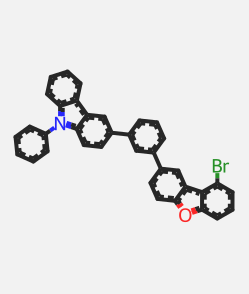 Brc1cccc2oc3ccc(-c4cccc(-c5ccc6c(c5)c5ccccc5n6-c5ccccc5)c4)cc3c12